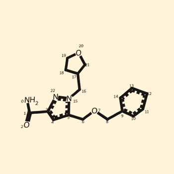 NC(=O)c1cc(COCc2ccccc2)n(CC2CCOC2)n1